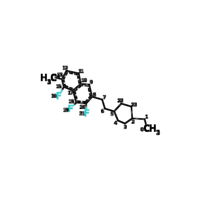 CCC1CCC(CCc2cc3ccc(C)c(F)c3c(F)c2F)CC1